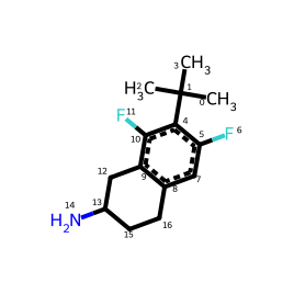 CC(C)(C)c1c(F)cc2c(c1F)CC(N)CC2